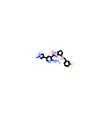 Cn1cc(-c2cnc(N)c(C(=O)N[C@H]3CCC[C@@H]3OCc3cccc(F)c3)c2)cn1